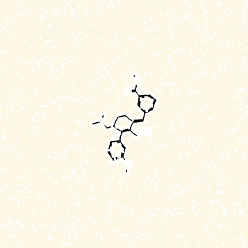 COC(=O)c1cccc(/C=C2\CCC(CN(C)C)C(c3cccc(OC)c3)=C2C)c1.Cl